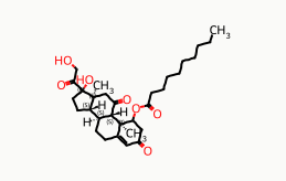 CCCCCCCCCC(=O)OC1CC(=O)C=C2CC[C@H]3[C@@H]4CC[C@](O)(C(=O)CO)[C@@]4(C)CC(=O)[C@@H]3[C@]21C